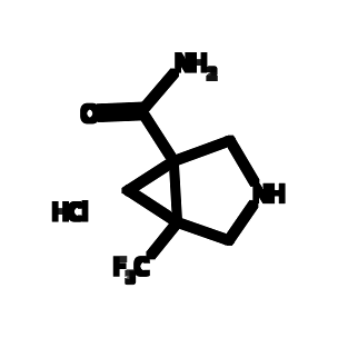 Cl.NC(=O)C12CNCC1(C(F)(F)F)C2